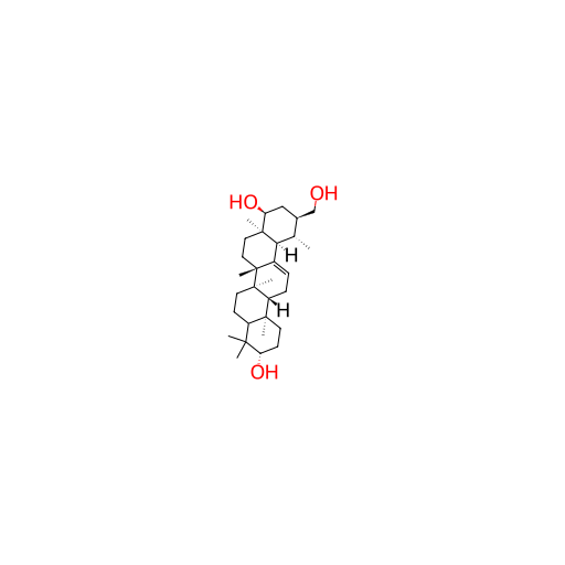 C[C@H]1[C@H](CO)C[C@H](O)[C@]2(C)CC[C@]3(C)C(=CC[C@@H]4[C@@]5(C)CC[C@H](O)C(C)(C)C5CC[C@]43C)[C@H]12